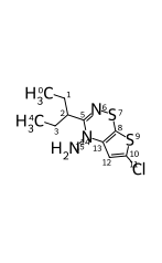 CCC(CC)C1=NSc2sc(Cl)cc2N1N